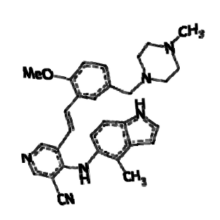 COc1ccc(CN2CCN(C)CC2)cc1/C=C/c1cncc(C#N)c1Nc1ccc2[nH]ccc2c1C